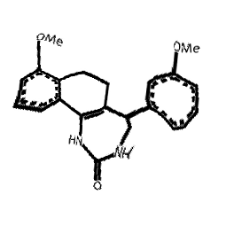 COc1cccc(C2NC(=O)NC3=C2CCc2c(OC)cccc23)c1